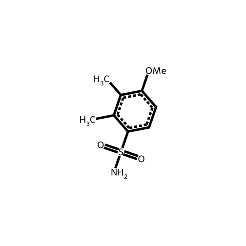 COc1ccc(S(N)(=O)=O)c(C)c1C